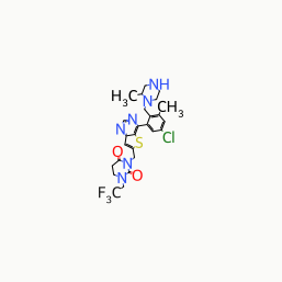 Cc1cc(Cl)cc(-c2ncnc3cc(CN4C(=O)CCN(CC(F)(F)F)C4=O)sc23)c1CN1CCNCC1C